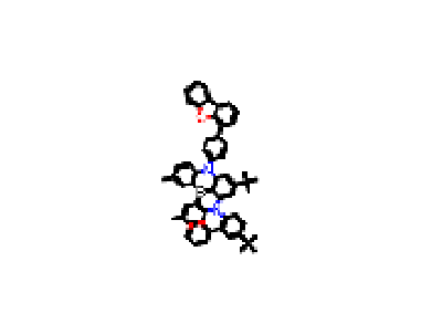 Cc1ccc2c(c1)B1c3cc(C)ccc3N(c3ccc(C(C)(C)C)cc3-c3ccccc3)c3cc(C(C)(C)C)cc(c31)N2c1ccc(-c2cccc3c2oc2ccccc23)cc1